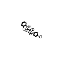 CC(C)(C(=O)Nc1ncccc1C(F)(F)F)S(=O)(=O)c1ccc(Cl)cc1